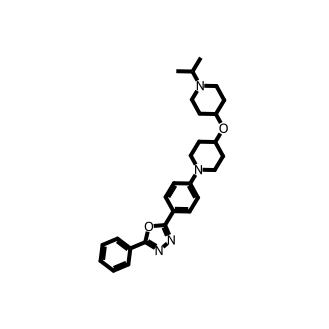 CC(C)N1CCC(OC2CCN(c3ccc(-c4nnc(-c5ccccc5)o4)cc3)CC2)CC1